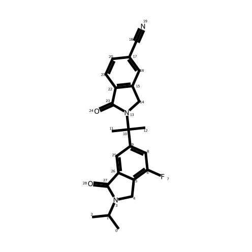 CC(C)N1Cc2c(F)cc(C(C)(C)N3Cc4cc(C#N)ccc4C3=O)cc2C1=O